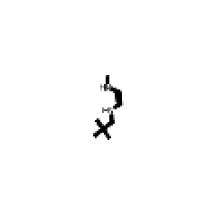 CN/C=C\NCC(C)(C)C